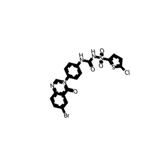 O=C(Nc1ccc(-n2cnc3ccc(Br)cc3c2=O)cc1)NS(=O)(=O)c1ccc(Cl)s1